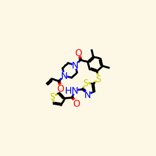 C=CC(=O)N1CCN(C(=O)c2cc(Sc3cnc(NC(=O)c4ccsc4)s3)c(C)cc2C)CC1